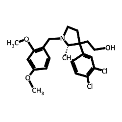 COc1ccc(CN2CCC(CCO)(c3ccc(Cl)c(Cl)c3)[C@@H]2C)c(OC)c1